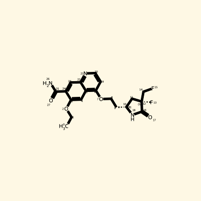 CCOc1cc2c(OCC[C@@H]3C[C@@](F)(CF)C(=O)N3)ccnc2cc1C(N)=O